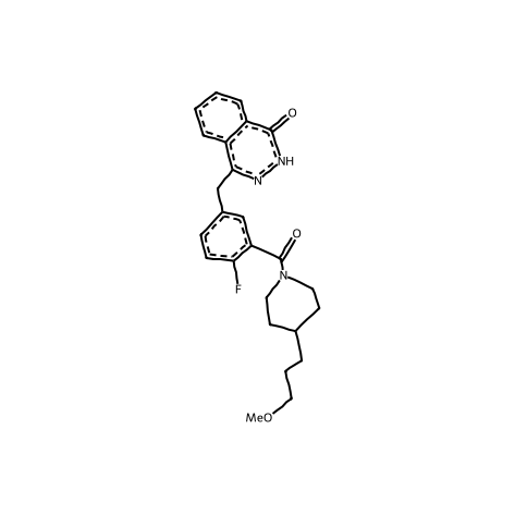 COCCCC1CCN(C(=O)c2cc(Cc3n[nH]c(=O)c4ccccc34)ccc2F)CC1